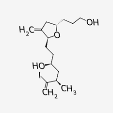 C=C(I)[C@H](C)C[C@@H](O)CC[C@@H]1O[C@@H](CCCO)CC1=C